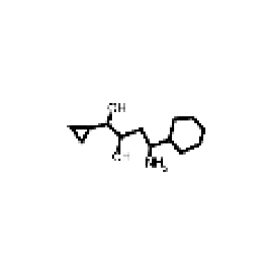 NC(CC(O)C(O)C1CC1)C1CCCCC1